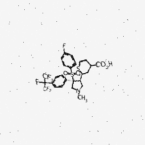 CN1CC(C2CC(C(=O)O)CCS2)[C@](c2ccc(C(F)(C(F)(F)F)C(F)(F)F)cc2)(S(=O)(=O)c2ccc(F)cc2)C1